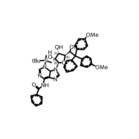 COc1ccc(C(c2ccccc2)(c2ccc(OC)cc2)C(O)[C@H]2O[C@@H](N3C=NC4=C(NC(=O)c5ccccc5)N=CN([Si](C)(C)C(C)(C)C)C43)[C@H](O)[C@@H]2O)cc1